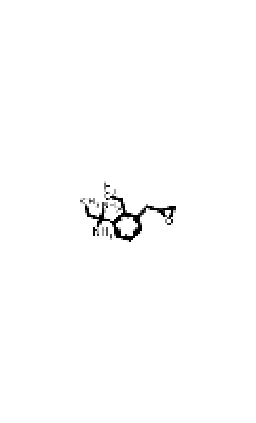 CCc1c(CC2CO2)cccc1C(N)(N)CC